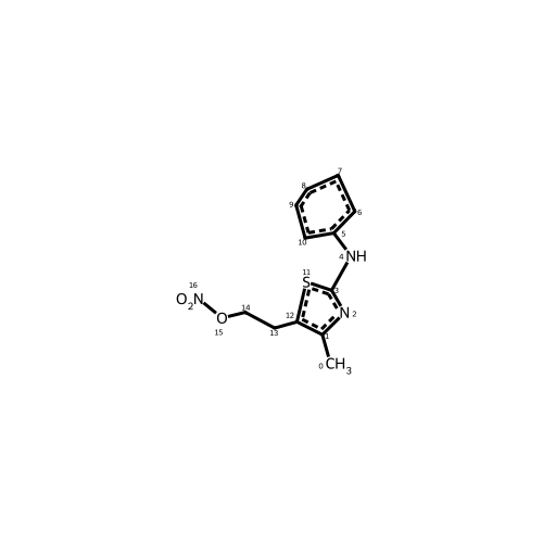 Cc1nc(Nc2ccccc2)sc1CCO[N+](=O)[O-]